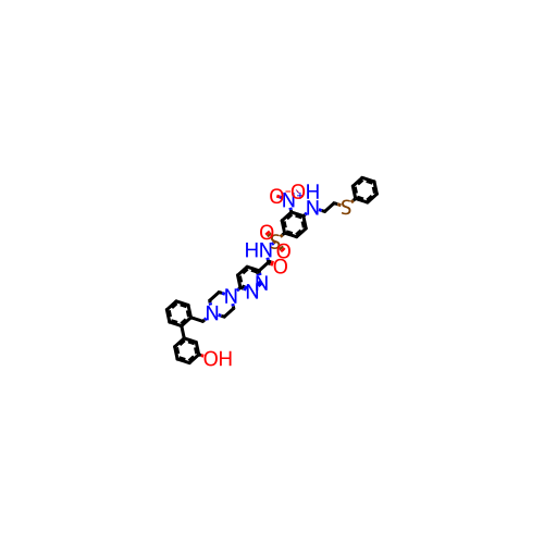 O=C(NS(=O)(=O)c1ccc(NCCSc2ccccc2)c([N+](=O)[O-])c1)c1ccc(N2CCN(Cc3ccccc3-c3cccc(O)c3)CC2)nn1